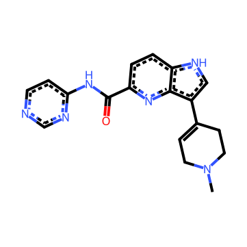 CN1CC=C(c2c[nH]c3ccc(C(=O)Nc4ccncn4)nc23)CC1